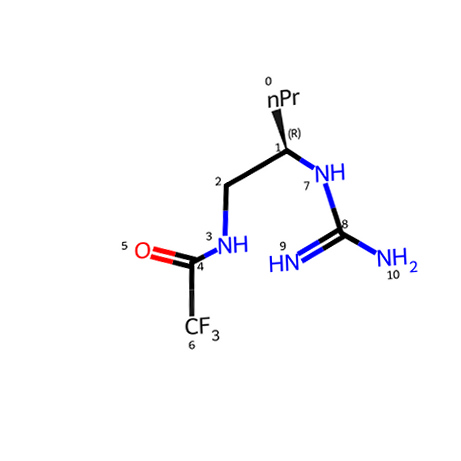 CCC[C@H](CNC(=O)C(F)(F)F)NC(=N)N